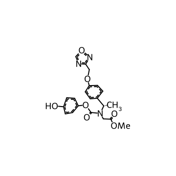 COC(=O)CN(C(=O)Oc1ccc(O)cc1)[C@@H](C)c1ccc(OCc2ncon2)cc1